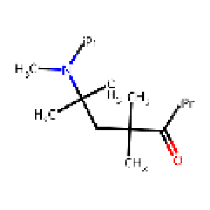 CC(C)C(=O)C(C)(C)CC(C)(C)N(C)C(C)C